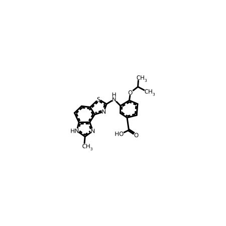 Cc1nc2c(ccc3sc(Nc4cc(C(=O)O)ccc4OC(C)C)nc32)[nH]1